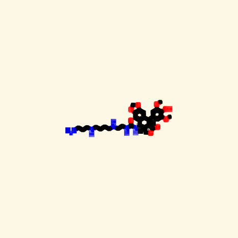 COc1cc(C2c3cc4c(cc3[C@@H](NC(=O)NCCNCCCCNCCCN)[C@H]3COC(=O)[C@H]23)OCO4)cc(OC)c1O